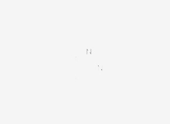 CN1CCc2ccsc2C1c1nc2ccccc2s1